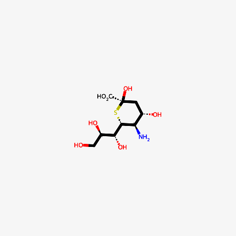 N[C@H]1[C@H]([C@H](O)[C@H](O)CO)S[C@](O)(C(=O)O)C[C@@H]1O